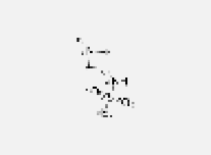 CCS(=O)(=O)NC1CN(C)C1